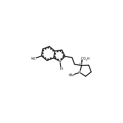 CCn1c(CC[C@]2(C(=O)O)CCCN2C(C)(C)C)cc2ccc(C#N)cc21